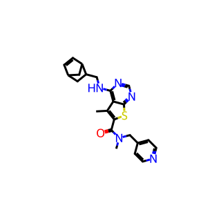 Cc1c(C(=O)N(C)Cc2ccncc2)sc2ncnc(NCC3CC4C=CC3C4)c12